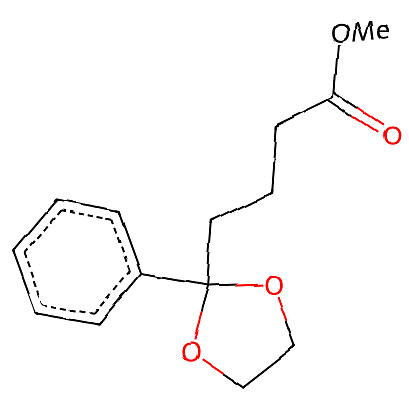 COC(=O)CCCC1(c2ccccc2)OCCO1